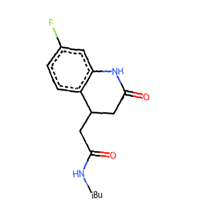 CCC(C)NC(=O)CC1CC(=O)Nc2cc(F)ccc21